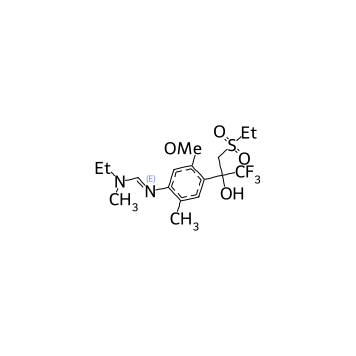 CCN(C)/C=N/c1cc(OC)c(C(O)(CS(=O)(=O)CC)C(F)(F)F)cc1C